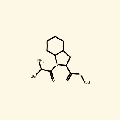 CC(C)(C)OC(=O)C1CC2CCCCC2N1C(=O)C(N)C(C)(C)C